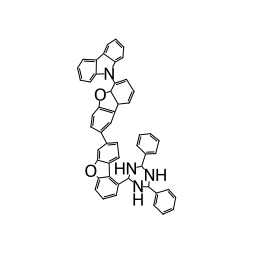 C1=CC2c3cc(-c4ccc5c(c4)oc4cccc(C6NC(c7ccccc7)NC(c7ccccc7)N6)c45)ccc3OC2C(n2c3ccccc3c3ccccc32)=C1